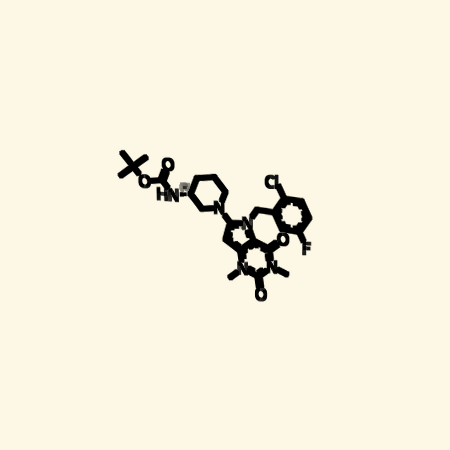 Cn1c(=O)c2c(cc(N3CCC[C@@H](NC(=O)OC(C)(C)C)C3)n2Cc2cc(F)ccc2Cl)n(C)c1=O